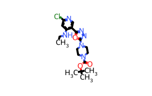 CCNc1cc(Cl)ncc1-c1nnc(N2CCN(C(=O)OC(C)(C)C)CC2)o1